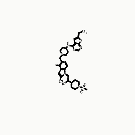 Cc1c(CN2CCC(Nc3ncnc4sc(CC(F)(F)F)cc34)CC2)ccc2c1cc(C#N)n2CC(O)C1CCN(S(C)(=O)=O)CC1